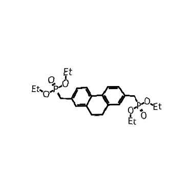 CCOP(=O)(Cc1ccc2c(c1)CCc1cc(CP(=O)(OCC)OCC)ccc1-2)OCC